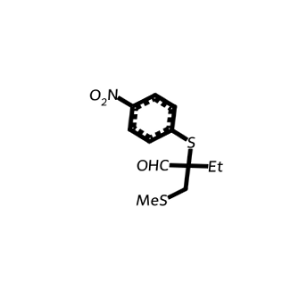 CCC(C=O)(CSC)Sc1ccc([N+](=O)[O-])cc1